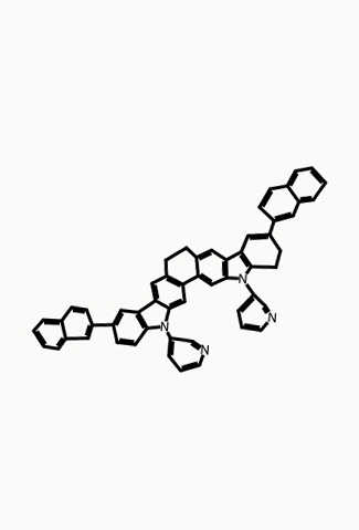 C1=C(c2ccc3ccccc3c2)CCc2c1c1cc3c(cc1n2-c1cccnc1)-c1cc2c(cc1CC3)c1cc(-c3ccc4ccccc4c3)ccc1n2-c1cccnc1